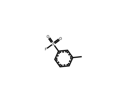 Cc1cccc(S(=O)(=O)F)c1